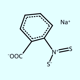 O=C([O-])c1ccccc1[N+](=S)[S-].[Na+]